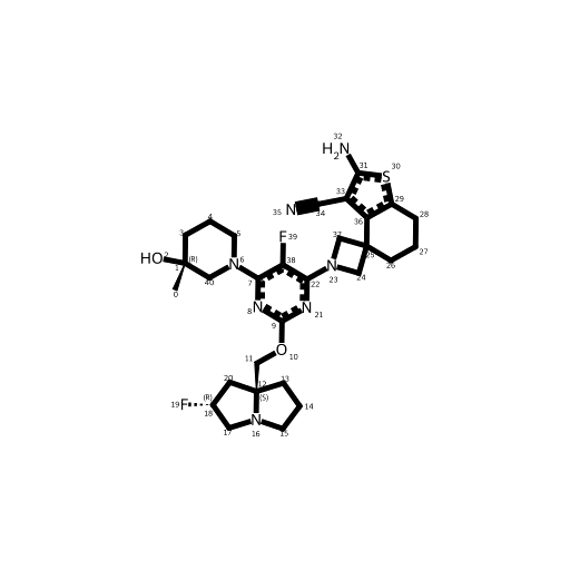 C[C@@]1(O)CCCN(c2nc(OC[C@@]34CCCN3C[C@H](F)C4)nc(N3CC4(CCCc5sc(N)c(C#N)c54)C3)c2F)C1